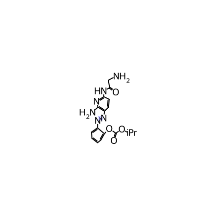 CC(C)OC(=O)Oc1ccccc1/N=N/c1ccc(NC(=O)CN)nc1N